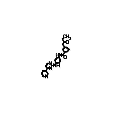 C=CC(=O)Cc1cccc(C(=O)Nc2ccc(Nc3nccc(-c4cccnc4)n3)cc2)c1